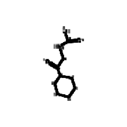 O=C(O)NCC(=O)C1CCCCC1